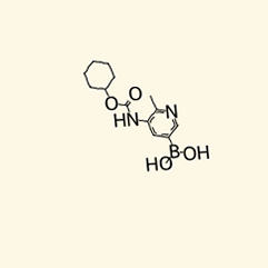 Cc1ncc(B(O)O)cc1NC(=O)OC1CCCCC1